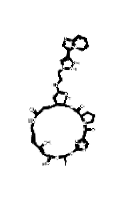 CC1=C\C(O)CC(F)Cc2nc(co2)C(=O)N2CCCC2C(=O)OC(C(C)C)C(CC(=O)NCCN2C=C(c3cnc4ccccn34)NN2)/C=C/C(=O)NC\C=C\1